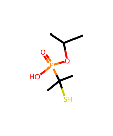 CC(C)OP(=O)(O)C(C)(C)S